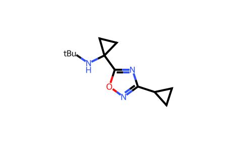 CC(C)(C)NC1(c2nc(C3CC3)no2)CC1